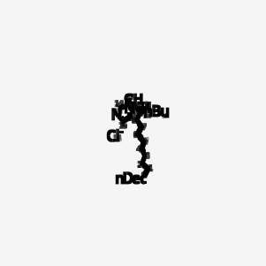 CCCCCCCCCCCCCCCCCCC(CCCC)N[N+]1(C)C=NCC1.[Cl-]